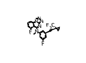 CN(c1cc(F)cc(C#CC2(C(F)(F)F)CC2)c1)c1nc2nncn2c2cccc(F)c12